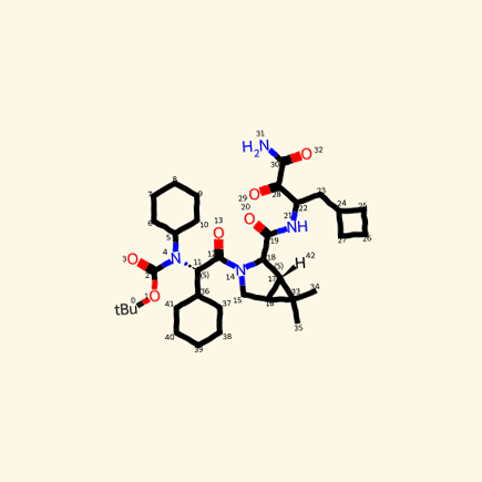 CC(C)(C)OC(=O)N(C1CCCCC1)[C@H](C(=O)N1CC2[C@H](C1C(=O)NC(CC1CCC1)C(=O)C(N)=O)C2(C)C)C1CCCCC1